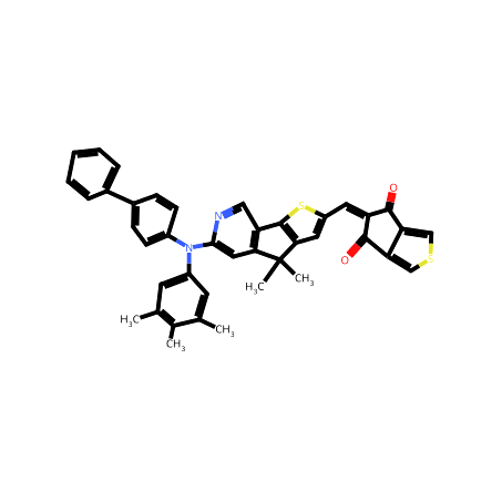 Cc1cc(N(c2ccc(-c3ccccc3)cc2)c2cc3c(cn2)-c2sc(C=C4C(=O)c5cscc5C4=O)cc2C3(C)C)cc(C)c1C